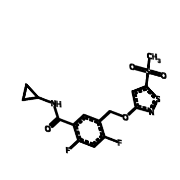 CS(=O)(=O)c1cc(OCc2cc(C(=O)NC3CC3)c(F)cc2F)ns1